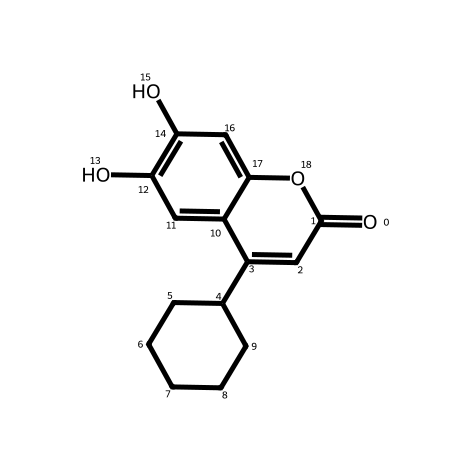 O=c1cc(C2CCCCC2)c2cc(O)c(O)cc2o1